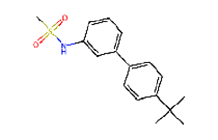 CC(C)(C)c1ccc(-c2cccc(NS(C)(=O)=O)c2)cc1